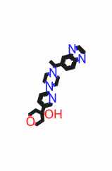 CC(c1ccc2nccnc2c1)N1CCN(c2ccc(C3(O)CCOCC3)cn2)CC1